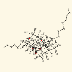 CCCCCCCCC[O][Sn]([O][Sn]([O]CCCCCCCCC)([C](F)(F)C(F)(F)C(F)(F)C(F)(F)F)[C](F)(F)C(F)(F)C(F)(F)C(F)(F)F)([C](F)(F)C(F)(F)C(F)(F)C(F)(F)F)[C](F)(F)C(F)(F)C(F)(F)C(F)(F)F